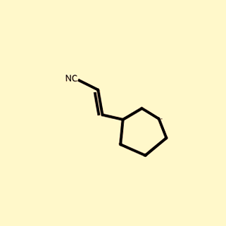 N#C/C=C/C1C[CH]CCC1